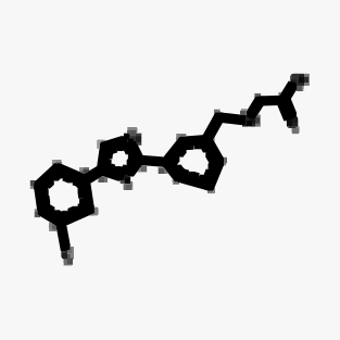 O=C(O)CNCc1cccc(-c2nc(-c3cccc(Cl)c3)c[nH]2)c1